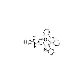 CC(=O)Nc1cccc(-c2nc3ccccc3n2C(C(=O)NC2CCCCC2)C2CCCCC2)c1